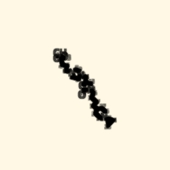 COC(=O)CCCN1CCN(CC2CN(CCCCC3CCN(C4CC4)CC3)C(=O)O2)CC1